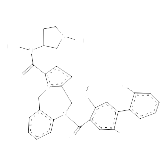 COc1cc(-c2ccccc2C)c(Cl)cc1C(=O)N1Cc2ccc(C(=O)N(C)C3CCN(C)C3)n2Cc2ccccc21